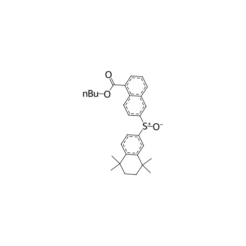 CCCCOC(=O)c1cccc2cc([S+]([O-])c3ccc4c(c3)C(C)(C)CCC4(C)C)ccc12